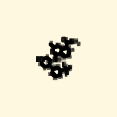 Cc1nc(N[C@H]2CNCC[C@@H]2c2cccc(C(F)(F)F)c2)c2cccc(C(N)=O)c2n1